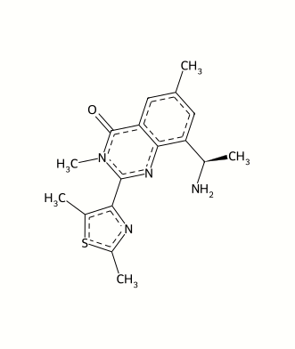 Cc1cc([C@@H](C)N)c2nc(-c3nc(C)sc3C)n(C)c(=O)c2c1